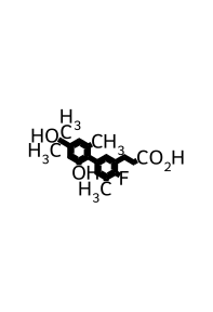 Cc1cc(-c2c(C)cc(C(C)(C)O)cc2O)cc(CCC(=O)O)c1F